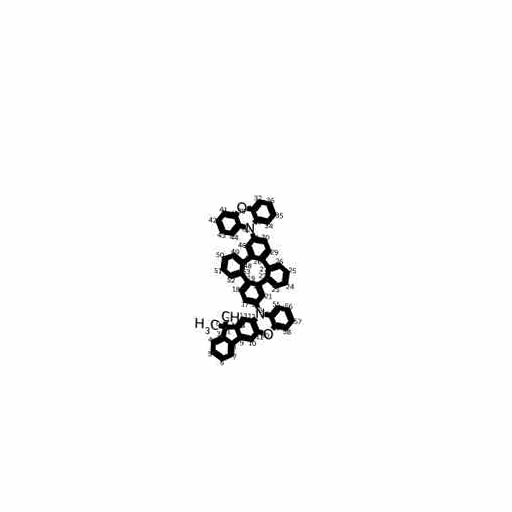 CC1(C)c2ccccc2-c2cc3c(cc21)N(c1ccc2c(c1)-c1ccccc1-c1ccc(N4c5ccccc5Oc5ccccc54)cc1-c1ccccc1-2)c1ccccc1O3